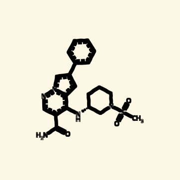 CS(=O)(=O)N1CCC[C@@H](Nc2c(C(N)=O)cnn3cc(-c4ccccc4)cc23)C1